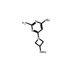 CNC1CN(c2cc(C(C)(C)C)nc(N)n2)C1